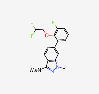 CNc1nn(C)c2cc(-c3cccc(F)c3OCC(F)F)ccc12